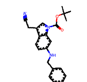 CC(C)(C)OC(=O)n1cc(CC#N)c2ccc(NCc3ccccc3)cc21